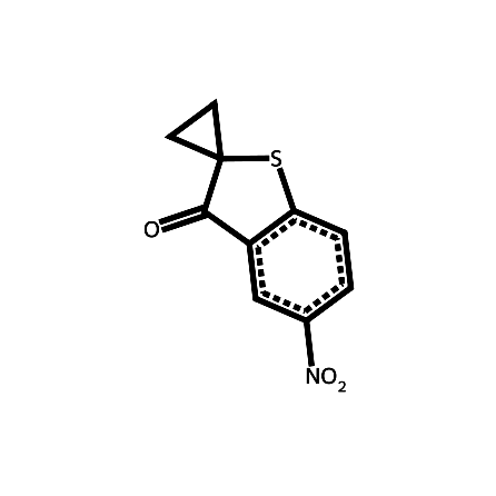 O=C1c2cc([N+](=O)[O-])ccc2SC12CC2